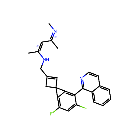 C/N=C(C)\C=C(\C)NCC1=CC2(C1)c1c(F)cc(F)c(-c3nccc4ccccc34)c12